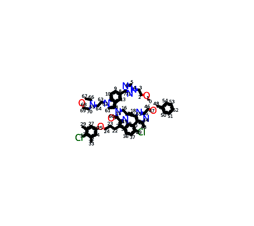 COCCn1cnc(-c2ccc3c(c2)c(N2CC(C)n4c(c(CCCOc5cc(C)c(Cl)c(C)c5)c5ccc(Cl)c(-c6c(C)nc(COCc7ccccc7)nc6C)c54)C2=O)cn3CCN2CCOCC2)n1